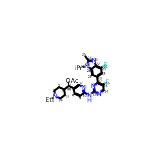 CCN1CCC([C@@H](OC(C)=O)c2ccc(Nc3ncc(F)c(-c4cc(F)c5nc(C)n(C(C)C)c5c4)n3)nc2)CC1